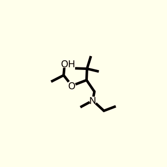 CCN(C)CC(OC(C)O)C(C)(C)C